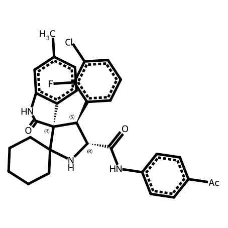 CC(=O)c1ccc(NC(=O)[C@@H]2NC3(CCCCC3)[C@@]3(C(=O)Nc4cc(C)ccc43)[C@H]2c2cccc(Cl)c2F)cc1